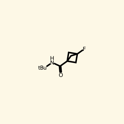 CC(C)(C)NC(=O)C12CC(F)(C1)C2